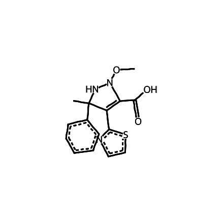 CON1NC(C)(c2ccccc2)C(c2nccs2)=C1C(=O)O